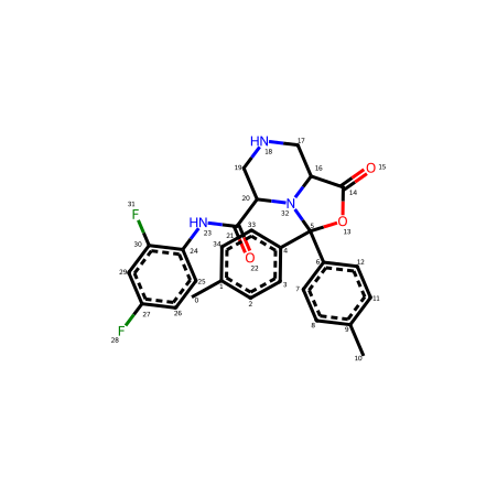 Cc1ccc(C2(c3ccc(C)cc3)OC(=O)C3CNCC(C(=O)Nc4ccc(F)cc4F)N32)cc1